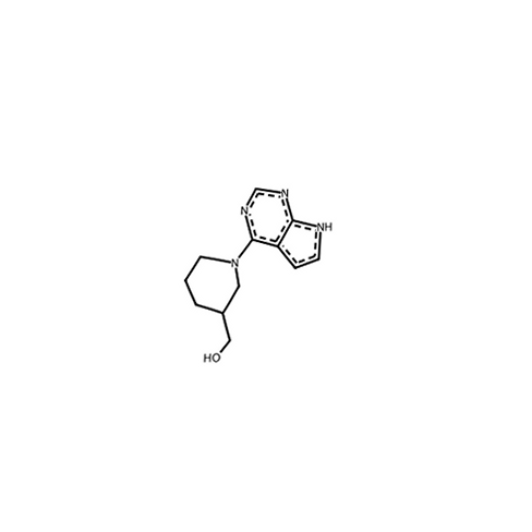 OCC1CCCN(c2ncnc3[nH]ccc23)C1